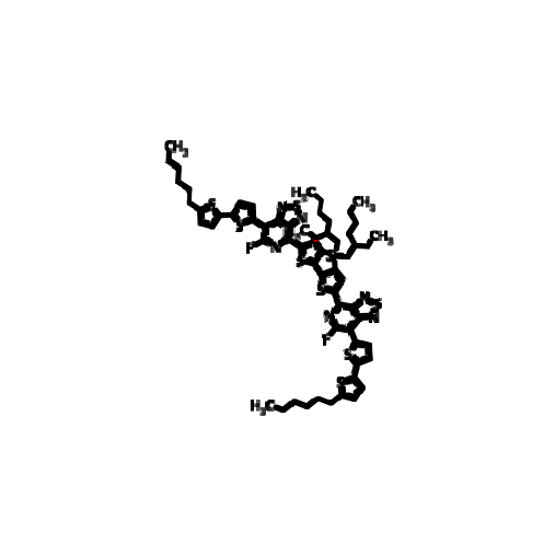 CCCCCCc1ccc(-c2ccc(-c3c(F)nc(-c4cc5c(s4)-c4sc(-c6nc(F)c(-c7ccc(-c8ccc(CCCCCC)s8)s7)c7nsnc67)cc4[Si]5(CC(CC)CCCC)CC(CC)CCCC)c4nsnc34)s2)s1